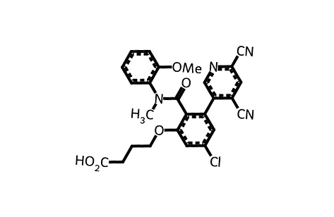 COc1ccccc1N(C)C(=O)c1c(OCCCC(=O)O)cc(Cl)cc1-c1cnc(C#N)cc1C#N